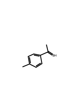 B=C(C)c1ccc(C)cc1